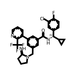 N=C1CCCN1Cc1cc(C(=O)N[C@H](c2ccc(F)c(Cl)c2)C2CC2)cc(-c2cccnc2C(F)(F)F)c1